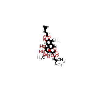 COC(=O)[C@@]12OC[C@]34C([C@@H](O)[C@@H]1O)[C@@]1(C)CC(=O)C(OC(=O)CCC5CC5)=C(C)C1C[C@H]3OC(=O)[C@H](OC(=O)C=C(C)C)[C@@H]24